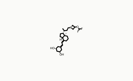 CC(CCN1CC(OC(F)F)C1)[C@H]1CC[C@H]2/C(=C/C=C3C[C@@H](O)C[C@H](O)C3)CCC[C@]12C